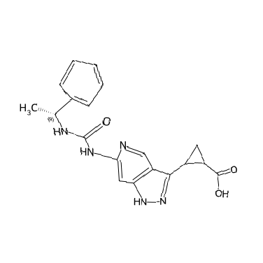 C[C@@H](NC(=O)Nc1cc2[nH]nc(C3CC3C(=O)O)c2cn1)c1ccccc1